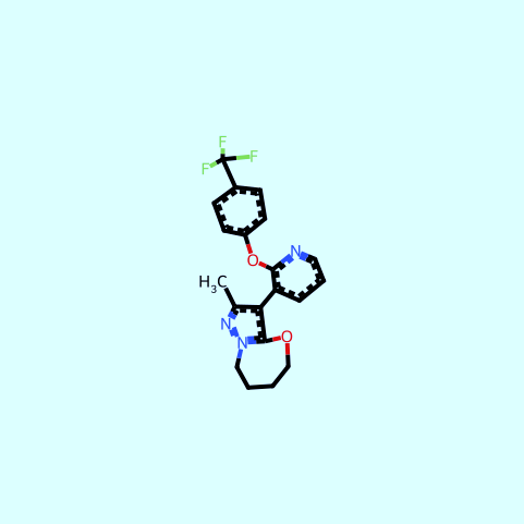 Cc1nn2c(c1-c1cccnc1Oc1ccc(C(F)(F)F)cc1)OCCCC2